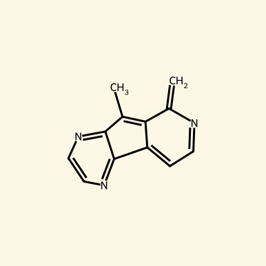 C=c1nccc2c1=C(C)c1nccnc1-2